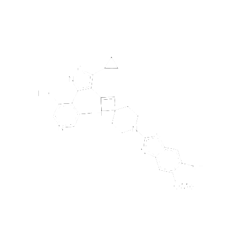 COc1cc2nc(N3CCC4(C=C(c5c(-c6c(C)cncc6C)noc5C5CC5)C4)CC3)sc2cc1C